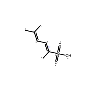 CC(C)=C/C=C(\C)S(=O)(=O)O